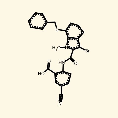 Cn1c(C(=O)Nc2ccc(C#N)cc2C(=O)O)c(Br)c2cccc(OCc3ccccc3)c21